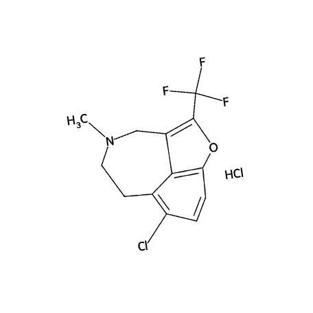 CN1CCc2c(Cl)ccc3oc(C(F)(F)F)c(c23)C1.Cl